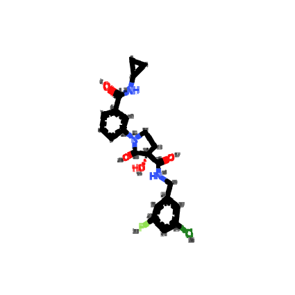 O=C(NC1CC1)c1cccc(N2CC[C@@](O)(C(=O)NCc3cc(F)cc(Cl)c3)C2=O)c1